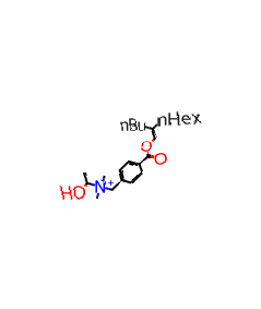 CCCCCCC(CCCC)COC(=O)c1ccc(C[N+](C)(C)C(C)O)cc1